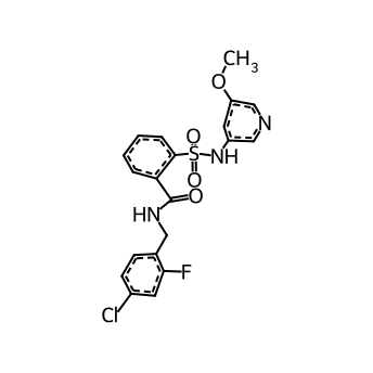 COc1cncc(NS(=O)(=O)c2ccccc2C(=O)NCc2ccc(Cl)cc2F)c1